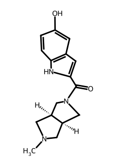 CN1C[C@@H]2CN(C(=O)c3cc4cc(O)ccc4[nH]3)C[C@@H]2C1